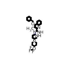 Cc1c(C(=N)/N=c2/ccc(N3CCC(OC(F)(F)F)CC3)c[nH]2)nc2ccccc2c1OCc1ccccc1